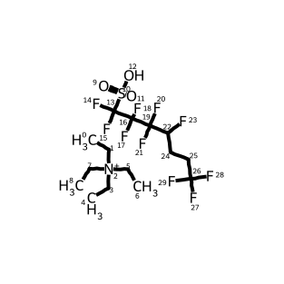 CC[N+](CC)(CC)CC.O=S(=O)(O)C(F)(F)C(F)(F)C(F)(F)C(F)CCC(F)(F)F